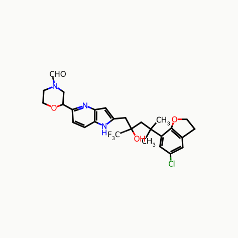 CC(C)(CC(O)(Cc1cc2nc(C3CN(C=O)CCO3)ccc2[nH]1)C(F)(F)F)c1cc(Cl)cc2c1OCC2